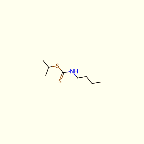 CCCCNC(=S)SC(C)C